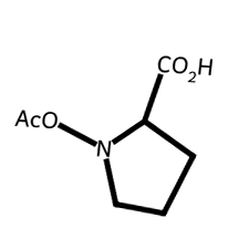 CC(=O)ON1CCCC1C(=O)O